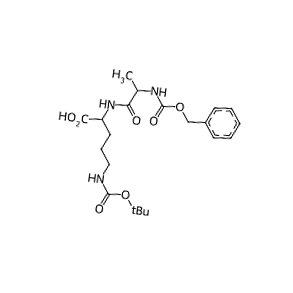 CC(NC(=O)OCc1ccccc1)C(=O)NC(CCCNC(=O)OC(C)(C)C)C(=O)O